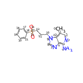 Cc1cnc(N)c2ncn(CCCS(=O)(=O)c3ccccc3)c12